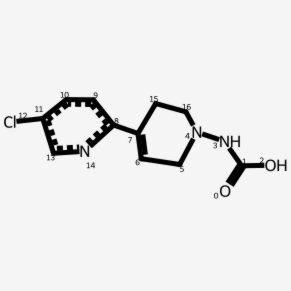 O=C(O)NN1CC=C(c2ccc(Cl)cn2)CC1